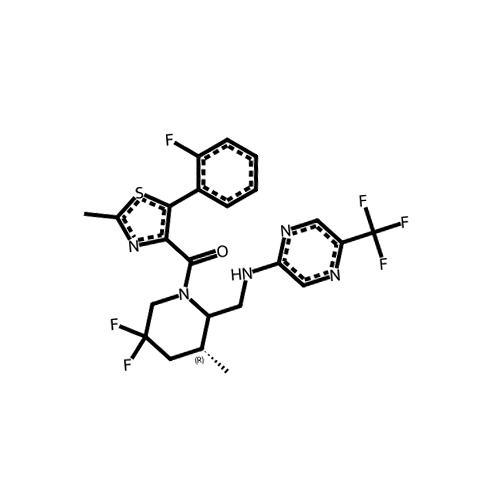 Cc1nc(C(=O)N2CC(F)(F)C[C@@H](C)C2CNc2cnc(C(F)(F)F)cn2)c(-c2ccccc2F)s1